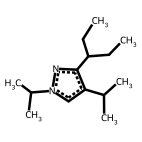 CCC(CC)c1nn(C(C)C)cc1C(C)C